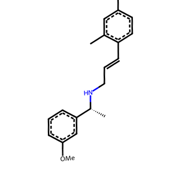 COc1cccc([C@@H](C)NC/C=C/c2ccc(C)cc2C)c1